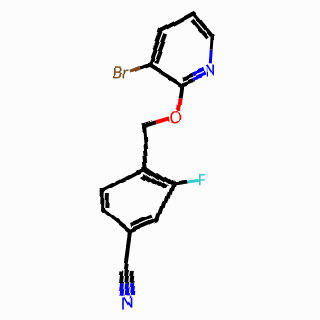 N#Cc1ccc(COc2ncccc2Br)c(F)c1